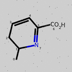 CC1CC=CC(C(=O)O)=N1